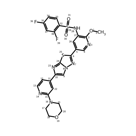 COc1ncc(-c2nn3cc(-c4ccnc(N5CCOCC5)c4)nc3s2)cc1NS(=O)(=O)c1ccc(F)cc1F